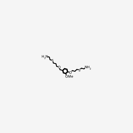 COc1cc(COCCCSCCN)ccc1OCCCSCCN